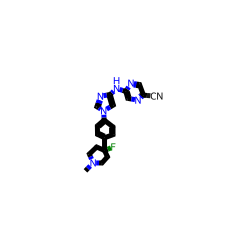 CN1CCC(F)(c2ccc(-n3cnc(Nc4cnc(C#N)cn4)c3)cc2)CC1